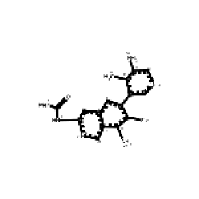 CNC(=O)Nc1cc2cc(-c3cncc(N)c3C)c(F)c(N)c2cn1